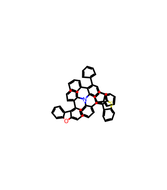 c1ccc(-c2cc3c(c(N(c4ccccc4-c4cccc5oc6ccccc6c45)c4ccccc4-c4cccc5sc6ccccc6c45)c2-c2ccccc2)Cc2ccccc2-3)cc1